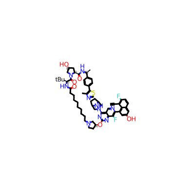 C#Cc1c(F)ccc2cc(O)cc(-c3ncc4c(N5CC6CCC(C5)N6)nc(O[C@H]5CCN(CCCCCCCCCC(=O)N[C@H](C(=O)N6C[C@H](O)C[C@H]6C(=O)N[C@@H](C)c6ccc(-c7scnc7C)cc6)C(C)(C)C)C5)nc4c3F)c12